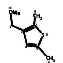 COCc1cc(C)sc1C